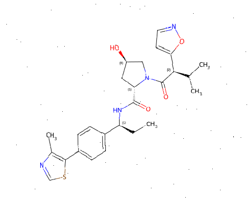 CC[C@H](NC(=O)[C@@H]1C[C@@H](O)CN1C(=O)[C@@H](c1ccno1)C(C)C)c1ccc(-c2scnc2C)cc1